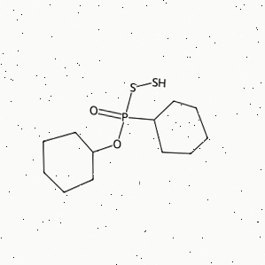 O=P(OC1CCCCC1)(SS)C1CCCCC1